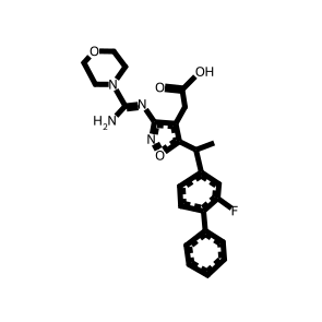 CC(c1ccc(-c2ccccc2)c(F)c1)c1onc(/N=C(\N)N2CCOCC2)c1CC(=O)O